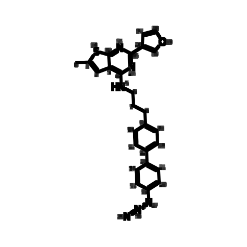 Cc1cc2c(NCCCc3ccc(-c4ccc(N=[N+]=[N-])cc4)cc3)nc(-c3ccoc3)nc2s1